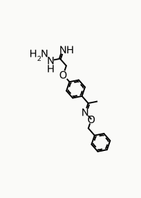 C/C(=N\OCc1ccccc1)c1ccc(OCC(=N)NN)cc1